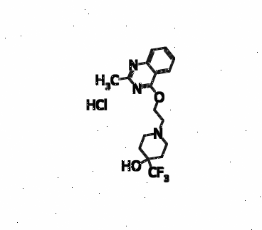 Cc1nc(OCCN2CCC(O)(C(F)(F)F)CC2)c2ccccc2n1.Cl